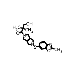 Cc1nc2ccc(SN3CC4=C(C3)CN(C(=O)C(C)(C)CO)C4)cc2o1